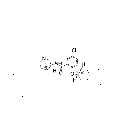 O=C(N[C@@H]1CN2CCC1CC2)c1cc(Cl)cc2c1O[C@H]1CCCC[C@@H]21